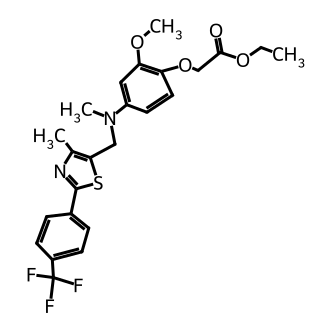 CCOC(=O)COc1ccc(N(C)Cc2sc(-c3ccc(C(F)(F)F)cc3)nc2C)cc1OC